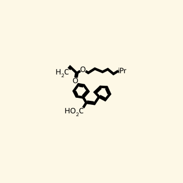 C=CC(=O)OCCCCCC(C)C.O=C(O)C(=Cc1ccccc1)c1ccccc1